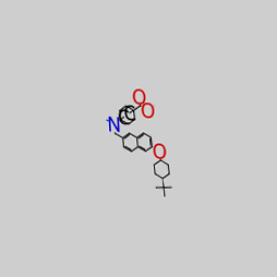 COC(=O)C12CCC(N(C)Cc3ccc4cc(O[C@H]5CC[C@H](C(C)(C)C)CC5)ccc4c3)(CC1)CC2